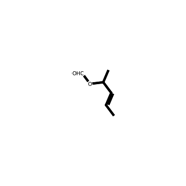 C/C=C/C(C)O[C]=O